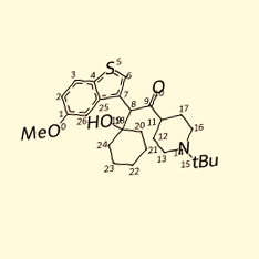 COc1ccc2scc(C(C(=O)C3CCN(C(C)(C)C)CC3)C3(O)CCCCC3)c2c1